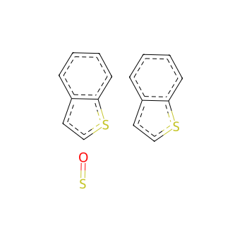 O=S.c1ccc2sccc2c1.c1ccc2sccc2c1